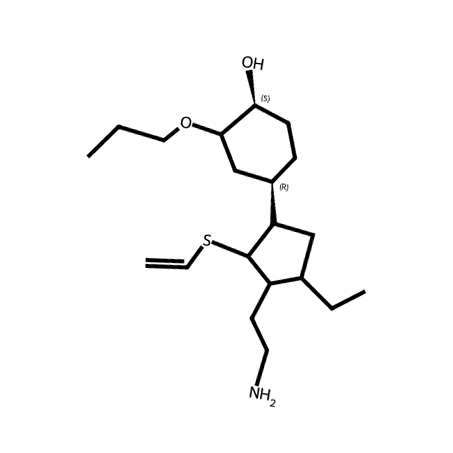 C=CSC1C(CCN)C(CC)CC1[C@@H]1CC[C@H](O)C(OCCC)C1